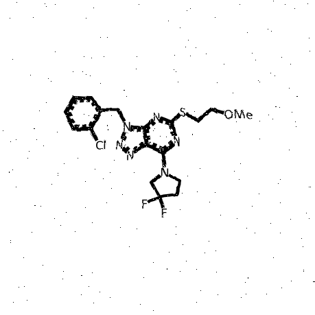 COCCSc1nc(N2CCC(F)(F)C2)c2nnn(Cc3ccccc3Cl)c2n1